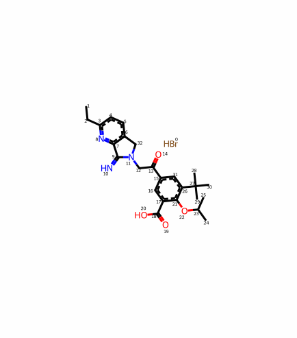 Br.CCc1ccc2c(n1)C(=N)N(CC(=O)c1cc(C(=O)O)c(OC(C)C)c(C(C)(C)C)c1)C2